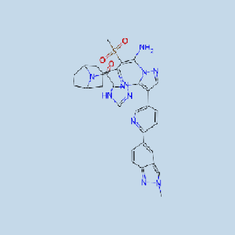 Cn1cc2cc(-c3ccc(-c4cnn5c(N)c(S(C)(=O)=O)c(C6CC7CCC(C6)N7C(=O)c6nnc[nH]6)nc45)cn3)ccc2n1